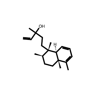 C=CC(C)(O)CC[C@@]1(C)[C@H](C)CC[C@@]2(C)C(C)=CC=C[C@H]12